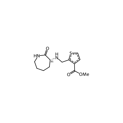 COC(=O)c1ccsc1CN[C@@H]1CCCCNC1=O